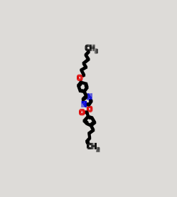 C=CCCCc1ccc(C(=O)Oc2cnc(-c3ccc(OCCCCCCCC)cc3)cn2)cc1